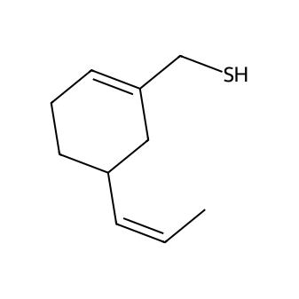 C/C=C\C1CCC=C(CS)C1